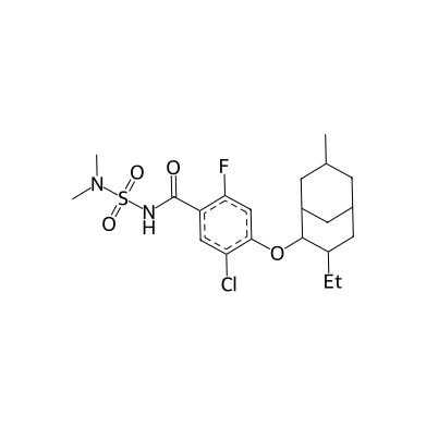 CCC1CC2CC(C)CC(C2)C1Oc1cc(F)c(C(=O)NS(=O)(=O)N(C)C)cc1Cl